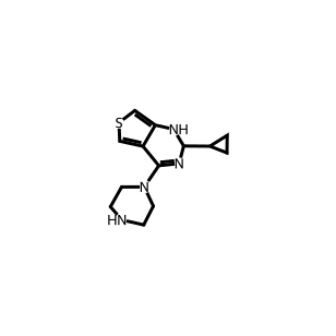 c1scc2c1NC(C1CC1)N=C2N1CCNCC1